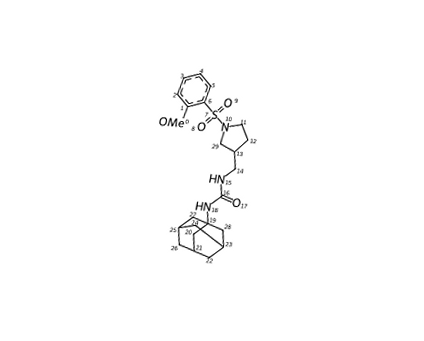 COc1ccccc1S(=O)(=O)N1CCC(CNC(=O)NC23CC4CC(CC(C4)C2)C3)C1